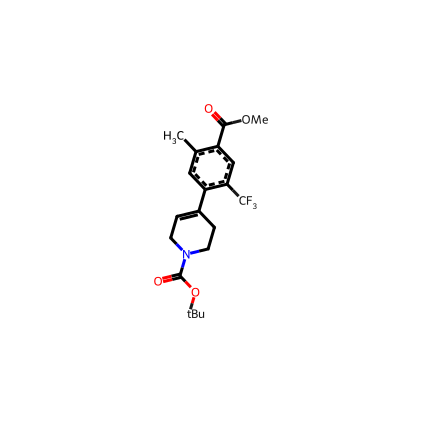 COC(=O)c1cc(C(F)(F)F)c(C2=CCN(C(=O)OC(C)(C)C)CC2)cc1C